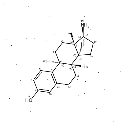 C[C@]12CC[C@@H]3c4ccc(O)cc4CC[C@H]3[C@@H]1CC[C@@H]2N